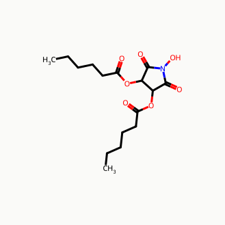 CCCCCC(=O)OC1C(=O)N(O)C(=O)C1OC(=O)CCCCC